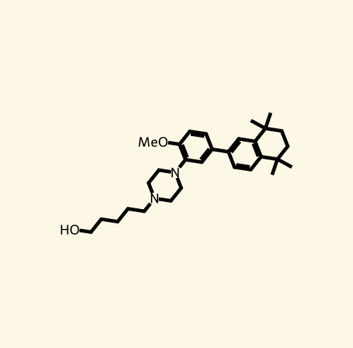 COc1ccc(-c2ccc3c(c2)C(C)(C)CCC3(C)C)cc1N1CCN(CCCCCO)CC1